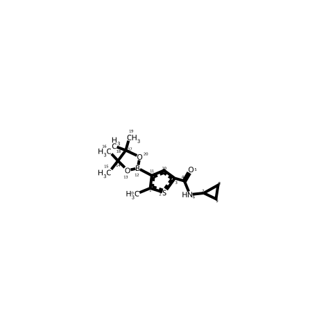 Cc1sc(C(=O)NC2CC2)cc1B1OC(C)(C)C(C)(C)O1